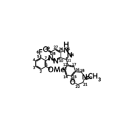 COc1cccc(F)c1-n1nc2c(-c3ccc4c(c3)CN(C)CCO4)n[nH]c2cc1=O